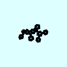 c1ccc(-c2cc(-c3ccccc3)nc(-n3c4ccccc4c4cc5c6cc7ccn(-c8ccccc8)c7cc6n(-c6ccccc6)c5cc43)n2)cc1